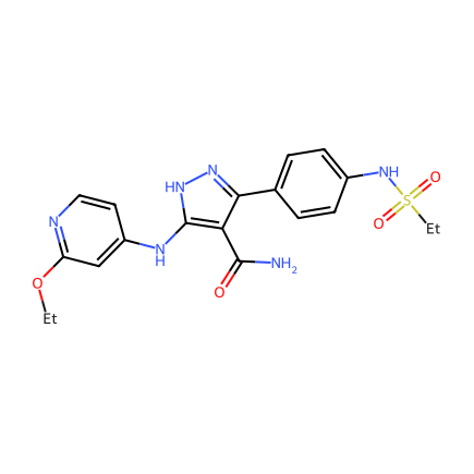 CCOc1cc(Nc2[nH]nc(-c3ccc(NS(=O)(=O)CC)cc3)c2C(N)=O)ccn1